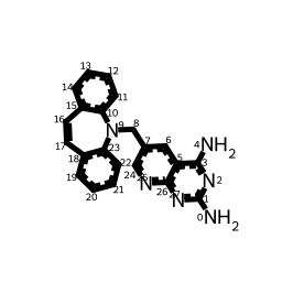 Nc1nc(N)c2cc(CN3c4ccccc4C=Cc4ccccc43)cnc2n1